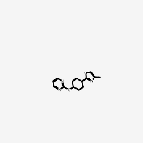 Cc1coc(C2CCC(Oc3ncccn3)CC2)n1